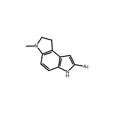 CC(=O)c1cc2c3c(ccc2[nH]1)N(C)CC3